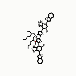 CCCCC(CC)C[Si]1(CC(CC)CCCC)c2cc(-c3c(F)cc(-c4cc5ccccc5o4)c4nsnc34)sc2-c2sc(-c3c(F)cc(-c4cc5ccccc5o4)c4nsnc34)cc21